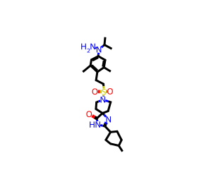 Cc1cc(N(N)C(C)C)cc(C)c1CCS(=O)(=O)N1CCC2(CC1)N=C(C1CCC(C)CC1)NC2=O